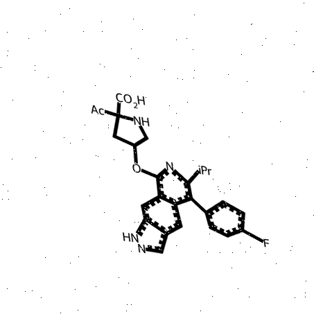 CC(=O)C1(C(=O)O)CC(Oc2nc(C(C)C)c(-c3ccc(F)cc3)c3cc4cn[nH]c4cc23)CN1